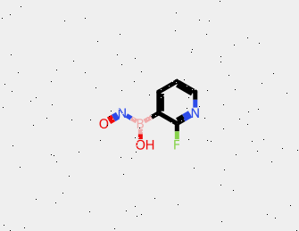 O=NB(O)c1cccnc1F